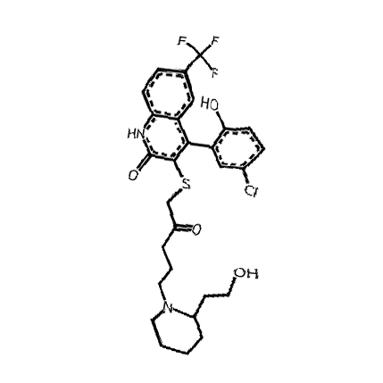 O=C(CCCN1CCCCC1CCO)CSc1c(-c2cc(Cl)ccc2O)c2cc(C(F)(F)F)ccc2[nH]c1=O